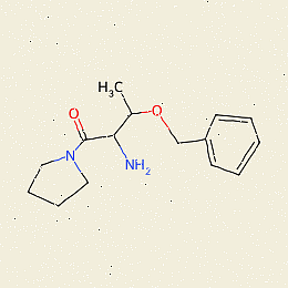 CC(OCc1ccccc1)C(N)C(=O)N1CCCC1